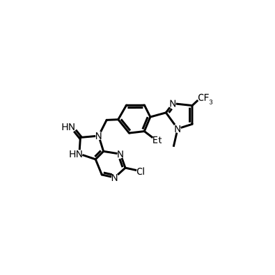 CCc1cc(Cn2c(=N)[nH]c3cnc(Cl)nc32)ccc1-c1nc(C(F)(F)F)cn1C